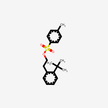 Cc1ccc(S(=O)(=O)OCCc2ccccc2C(C)(C)C)cc1